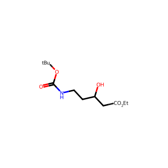 CCOC(=O)CC(O)CCNC(=O)OC(C)(C)C